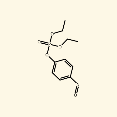 CCOP(=O)(OCC)Oc1ccc(N=O)cc1